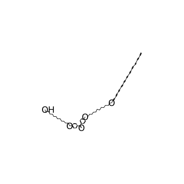 C#CC#CC#CC#CC#CC#CC#CC#CC#CC#CC#COCCCCCCCCCCCCOc1ccc(C(=O)c2ccc(OCCCCCCCCCCCCO)cc2)cc1